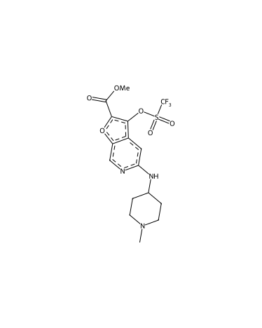 COC(=O)c1oc2cnc(NC3CCN(C)CC3)cc2c1OS(=O)(=O)C(F)(F)F